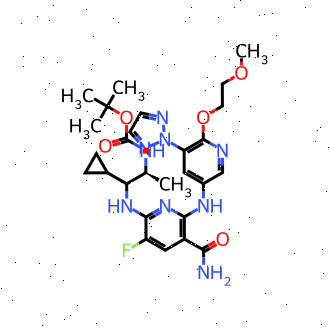 COCCOc1ncc(Nc2nc(NC(C3CC3)[C@H](C)NC(=O)OC(C)(C)C)c(F)cc2C(N)=O)cc1-n1nccn1